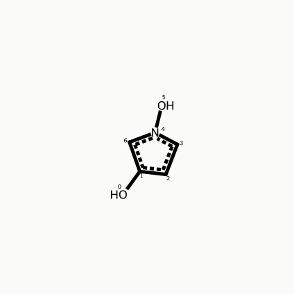 Oc1ccn(O)c1